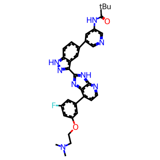 CN(C)CCOc1cc(F)cc(-c2ccnc3[nH]c(-c4n[nH]c5ccc(-c6cncc(NC(=O)C(C)(C)C)c6)cc45)nc23)c1